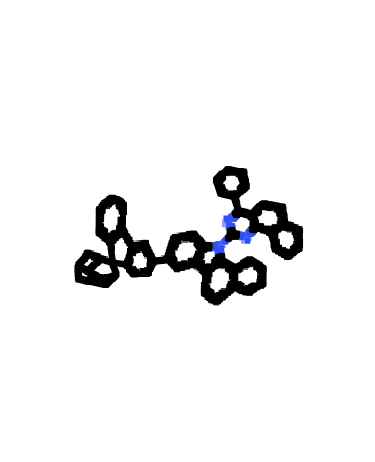 c1ccc(-c2nc(-n3c4ccc(-c5ccc6c(c5)-c5ccccc5C65C6CC7CC(C6)CC5C7)cc4c4ccc5ccccc5c43)nc3c2ccc2ccccc23)cc1